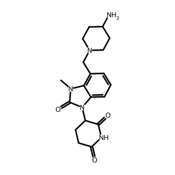 Cn1c(=O)n(C2CCC(=O)NC2=O)c2cccc(CN3CCC(N)CC3)c21